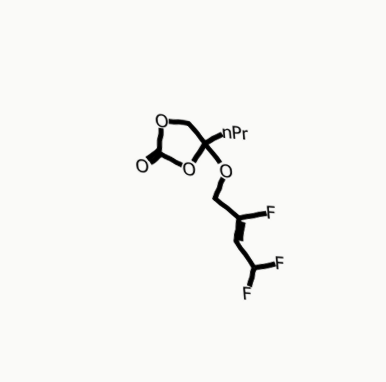 CCCC1(OCC(F)=CC(F)F)COC(=O)O1